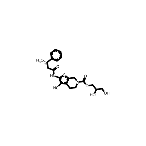 C[C@@H](CC(=O)Nc1sc2c(c1C#N)CCN(C(=O)OCC(O)CO)C2)c1ccccc1